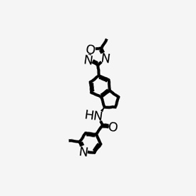 Cc1cc(C(=O)N[C@@H]2CCc3cc(-c4noc(C)n4)ccc32)ccn1